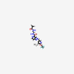 Cc1cc(Cn2cc3c(C(=O)NCCNC(=O)C4CC4)nccc3n2)cnc1OCC(F)(F)F